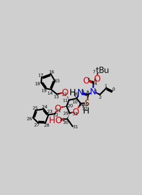 C=CCN(C(=O)OC(C)(C)C)C1=N[C@@H]2[C@@H](OCc3ccccc3)[C@H](OCc3ccccc3)[C@@H](C(C)O)O[C@@H]2S1